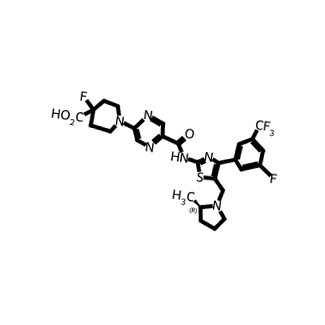 C[C@@H]1CCCN1Cc1sc(NC(=O)c2cnc(N3CCC(F)(C(=O)O)CC3)cn2)nc1-c1cc(F)cc(C(F)(F)F)c1